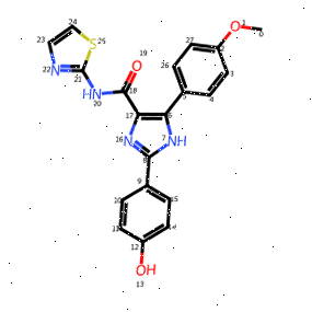 COc1ccc(-c2[nH]c(-c3ccc(O)cc3)nc2C(=O)Nc2nccs2)cc1